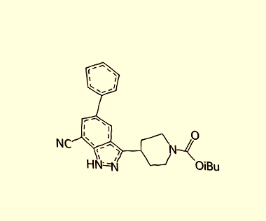 CC(C)COC(=O)N1CCC(c2n[nH]c3c(C#N)cc(-c4ccccc4)cc23)CC1